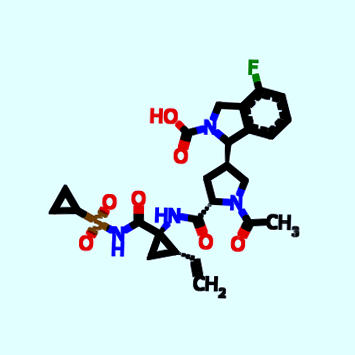 C=C[C@@H]1C[C@]1(NC(=O)[C@@H]1C[C@@H](C2c3cccc(F)c3CN2C(=O)O)CN1C(C)=O)C(=O)NS(=O)(=O)C1CC1